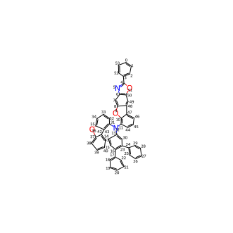 c1ccc(-c2nc3cc4oc5c(N(c6ccc(-c7ccccc7)c(-c7ccccc7)c6)c6cccc7oc8ccccc8c67)cccc5c4cc3o2)cc1